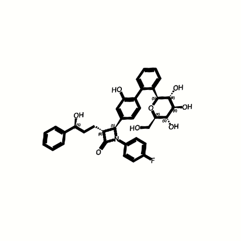 O=C1[C@H](CC[C@H](O)c2ccccc2)[C@@H](c2ccc(-c3ccccc3[C@@H]3O[C@H](CO)[C@@H](O)[C@H](O)[C@H]3O)c(O)c2)N1c1ccc(F)cc1